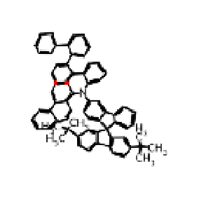 CC(C)(C)c1ccc2c(c1)C1(c3ccccc3-c3cc(N(c4ccccc4-c4ccccc4-c4ccccc4-c4ccccc4)c4cccc5c4ccc4ccccc45)ccc31)c1cc(C(C)(C)C)ccc1-2